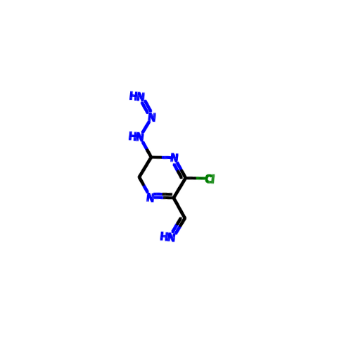 N=CC1=NCC(NN=N)N=C1Cl